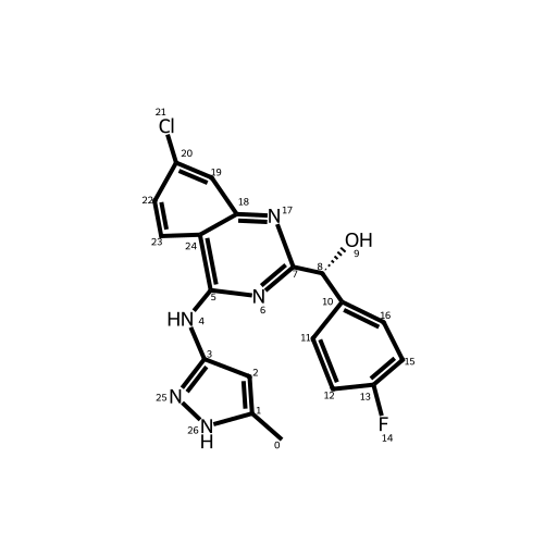 Cc1cc(Nc2nc([C@H](O)c3ccc(F)cc3)nc3cc(Cl)ccc23)n[nH]1